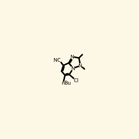 CCCCC1=C(Cl)N2C(=NC(C)N2C)C(C#N)=C1